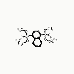 CO[Si](OC)(OC)c1ccc([Si](OC)(OC)OC)c2ccccc12